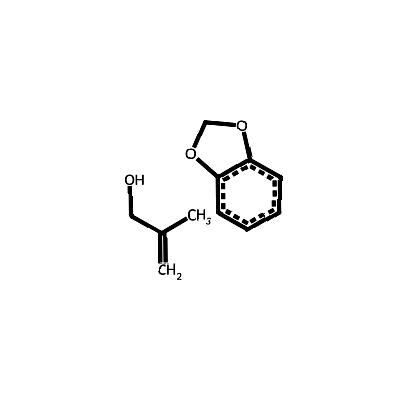 C=C(C)CO.c1ccc2c(c1)OCO2